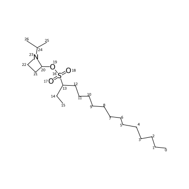 CCCCCCCCCCCCCC(CC)S(=O)(=O)OC1CCN1C(C)C